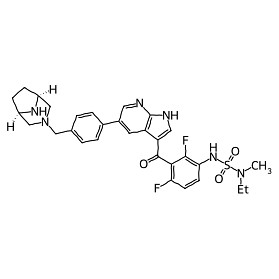 CCN(C)S(=O)(=O)Nc1ccc(F)c(C(=O)c2c[nH]c3ncc(-c4ccc(CN5C[C@H]6CC[C@@H](C5)N6)cc4)cc23)c1F